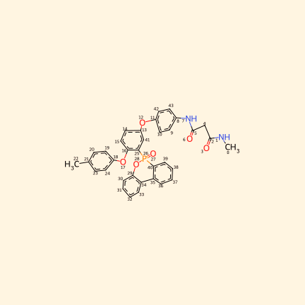 CNC(=O)CC(=O)Nc1ccc(Oc2ccc(Oc3ccc(C)cc3)c(P3(=O)Oc4ccccc4-c4ccccc43)c2)cc1